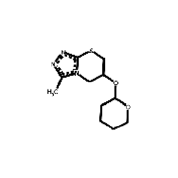 Cc1nnc2n1CC(OC1CCCCO1)CS2